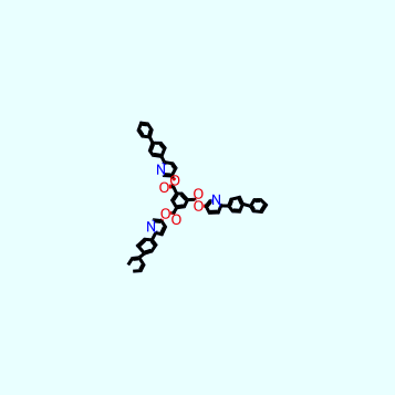 C/C=C\C(=C/C)c1ccc(-c2ccc(OC(=O)c3cc(C(=O)Oc4ccc(-c5ccc(-c6ccccc6)cc5)nc4)cc(C(=O)Oc4ccc(-c5ccc(-c6ccccc6)cc5)nc4)c3)cn2)cc1